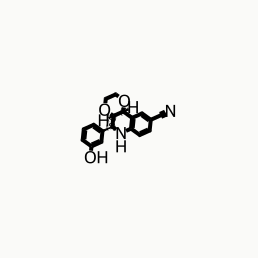 N#Cc1ccc2c(c1)[C@H]1OCCO[C@H]1[C@H](c1cccc(O)c1)N2